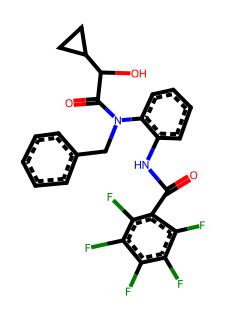 O=C(Nc1ccccc1N(Cc1ccccc1)C(=O)C(O)C1CC1)c1c(F)c(F)c(F)c(F)c1F